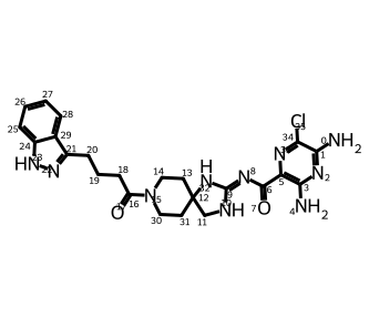 Nc1nc(N)c(C(=O)/N=C2\NCC3(CCN(C(=O)CCCc4n[nH]c5ccccc45)CC3)N2)nc1Cl